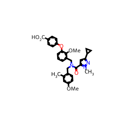 COc1ccc(CN(Cc2cccc(Oc3ccc(C(=O)O)cc3)c2OC)C(=O)c2cc(C3CC3)nn2C)c(C)c1